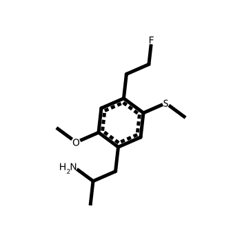 COc1cc(CCF)c(SC)cc1CC(C)N